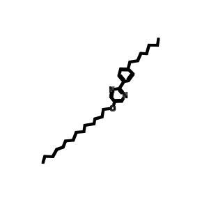 CCCCCCCCCCCCCCOc1cnc(-c2ccc(CCCCCCC)cc2)nc1